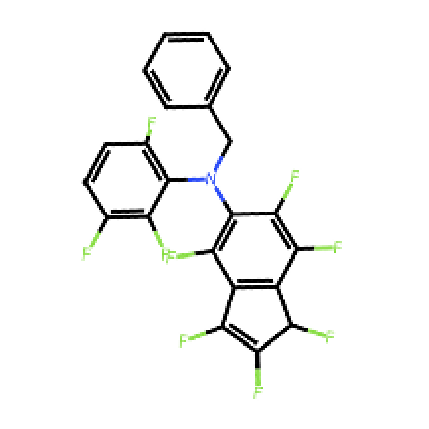 FC1=C(F)C(F)c2c(F)c(F)c(N(Cc3ccccc3)c3c(F)ccc(F)c3F)c(F)c21